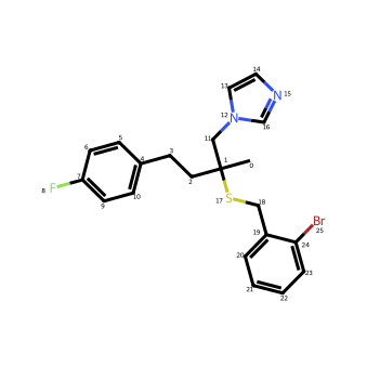 CC(CCc1ccc(F)cc1)(Cn1ccnc1)SCc1ccccc1Br